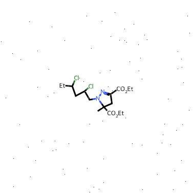 CCOC(=O)C1=NN(CC(Cl)CC(Cl)CC)C(C)(C(=O)OCC)C1